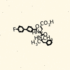 CC(C)(Cc1ccccc1)NC(=O)[C@H](CCC(=O)O)NC(=O)c1ccc(-c2ccc(F)cc2)cc1